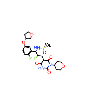 CC(C)(C)[S@@+]([O-])NC(c1cc(O[C@@H]2CCOC2)ccc1F)C(F)CC1C(=O)NC(=O)N(C2CCOCC2)C1=O